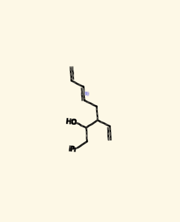 C=C/C=C/CC(C=C)C(O)CC(C)C